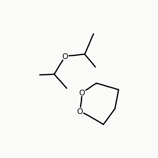 C1CCOOC1.CC(C)OC(C)C